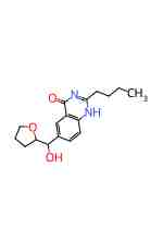 CCCCc1nc(=O)c2cc(C(O)C3CCCO3)ccc2[nH]1